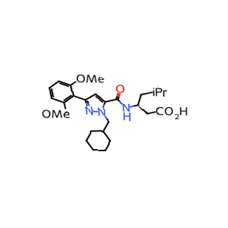 COc1cccc(OC)c1-c1cc(C(=O)N[C@H](CC(=O)O)CC(C)C)n(CC2CCCCC2)n1